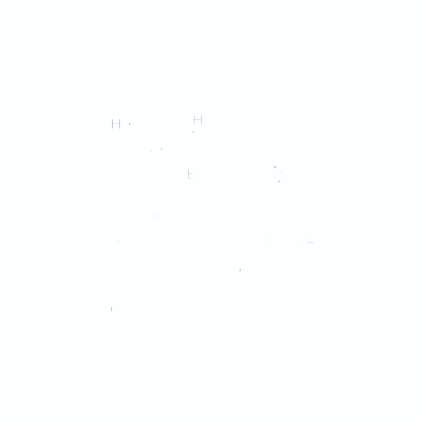 CCC(CC=CC(C)=CC(C)=O)CCCC(C)(O)CC